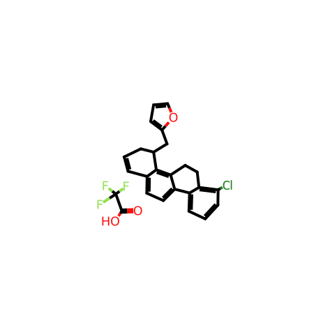 Clc1cccc2c1CCc1c-2ccc2c1C(Cc1ccco1)CC=C2.O=C(O)C(F)(F)F